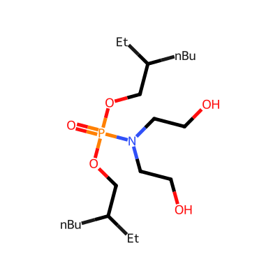 CCCCC(CC)COP(=O)(OCC(CC)CCCC)N(CCO)CCO